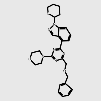 c1ccc(COCc2nc(-c3cccc4c3cnn4C3CCCCO3)nc(N3CCOCC3)n2)cc1